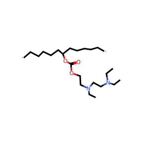 [CH2]CCCCCC(CCCCC[CH2])OC(=O)OCCN(CC)CCN(CC)CC